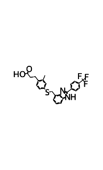 Cc1cc(SCc2cccc3[nH]c(-c4ccc(C(F)(F)F)cc4)nc23)ccc1CCC(=O)O